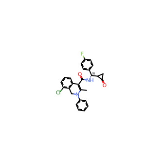 CC1=C(C(=O)N[C@H](c2ccc(F)cc2)C2CC2=O)c2cccc(Cl)c2CN1c1ccccc1